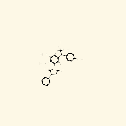 Cc1ccc(C2c3c(C)c(N4C(=O)CC(c5ccccc5)C4=O)c(C)c(C)c3OC2(C)C)cc1